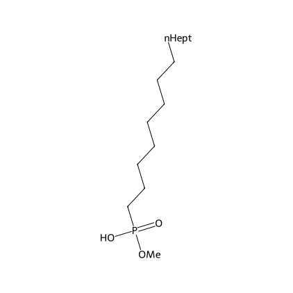 CCCCCCCCCCCCCCCP(=O)(O)OC